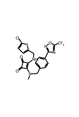 CN(Cc1ccc(-c2noc(C(F)(F)F)n2)cc1)c1c(NCc2ccc(Cl)s2)c(=O)c1=O